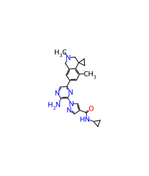 Cc1cc(-c2cnc(N)c(-n3cc(C(=O)NC4CC4)cn3)n2)cc2c1C1(CC1)CN(C)C2